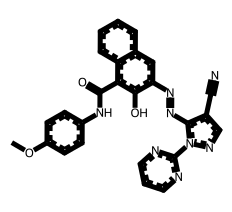 COc1ccc(NC(=O)c2c(O)c(/N=N/c3c(C#N)cnn3-c3ncccn3)cc3ccccc23)cc1